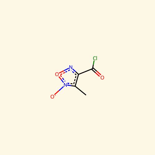 Cc1c(C(=O)Cl)no[n+]1[O-]